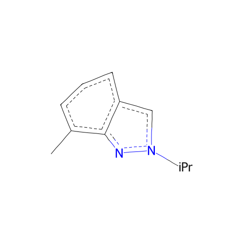 Cc1cccc2cn(C(C)C)nc12